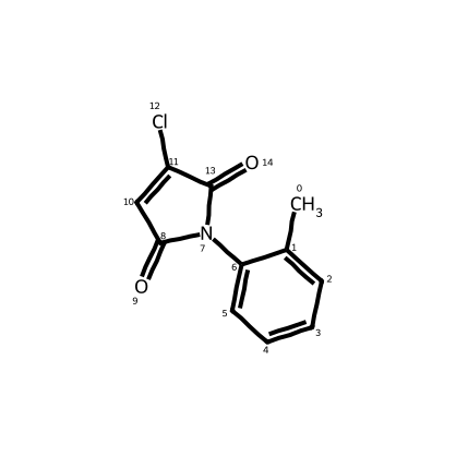 Cc1ccccc1N1C(=O)C=C(Cl)C1=O